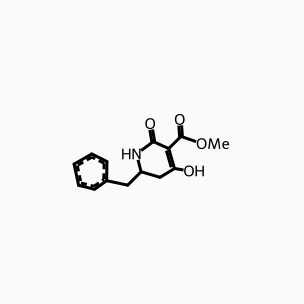 COC(=O)C1=C(O)CC(Cc2ccccc2)NC1=O